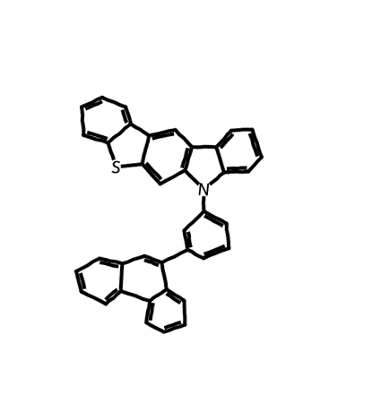 c1cc(-c2cc3ccccc3c3ccccc23)cc(-n2c3ccccc3c3cc4c(cc32)sc2ccccc24)c1